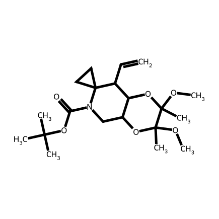 C=CC1C2OC(C)(OC)C(C)(OC)OC2CN(C(=O)OC(C)(C)C)C12CC2